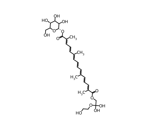 CC(/C=C/C=C(\C)C(=O)OCC(O)(O)OCCO)=C\C=C\C=C(C)\C=C\C=C(/C)C(=O)O[C@@H]1OC(CO)[C@@H](O)C(O)C1O